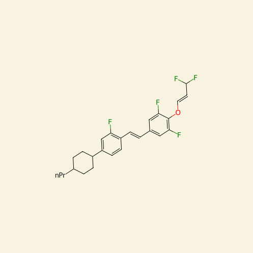 CCCC1CCC(c2ccc(/C=C/c3cc(F)c(O/C=C/C(F)F)c(F)c3)c(F)c2)CC1